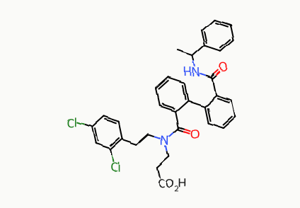 CC(NC(=O)c1ccccc1-c1ccccc1C(=O)N(CCC(=O)O)CCc1ccc(Cl)cc1Cl)c1ccccc1